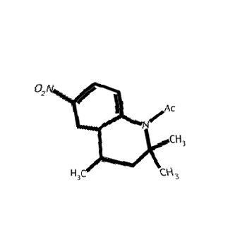 CC(=O)N1C2=CC=C([N+](=O)[O-])CC2C(C)CC1(C)C